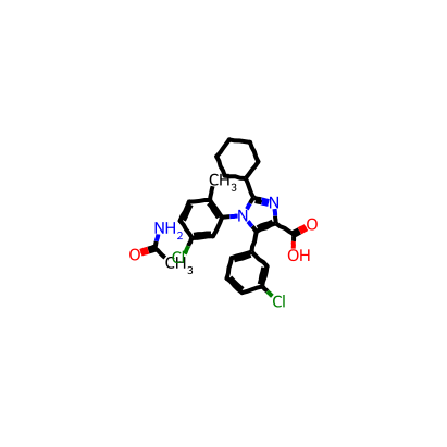 CC(N)=O.Cc1ccc(Cl)cc1-n1c(C2CCCCC2)nc(C(=O)O)c1-c1cccc(Cl)c1